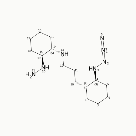 [N-]=[N+]=NN[C@H]1CCCC[C@@H]1CCCN[C@H]1CCCC[C@@H]1NN